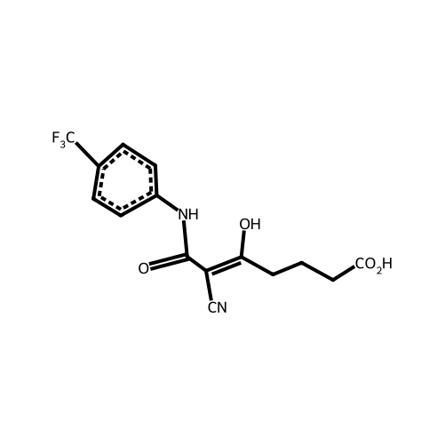 N#CC(C(=O)Nc1ccc(C(F)(F)F)cc1)=C(O)CCCC(=O)O